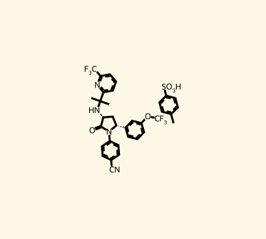 CC(C)(N[C@@H]1C[C@H](c2cccc(OC(F)(F)F)c2)N(c2ccc(C#N)cc2)C1=O)c1cccc(C(F)(F)F)n1.Cc1ccc(S(=O)(=O)O)cc1